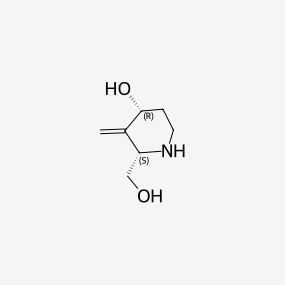 C=C1[C@H](O)CCN[C@@H]1CO